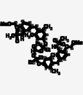 CCC(CC)(Oc1cc(C)c(Cc2ccc(OCOC)c(NS(C)(=O)=O)c2)c(C)c1)O[PH](=O)OC(CC)(CC)Oc1cc(C)c(Cc2ccc(OCOC)c(NS(C)(=O)=O)c2)c(C)c1